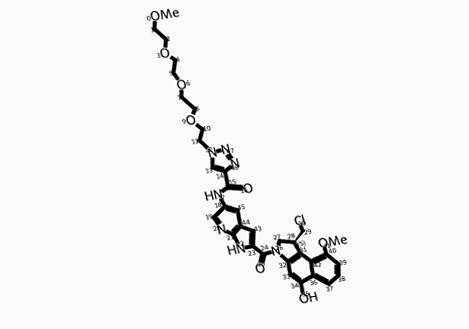 COCCOCCOCCOCCn1cc(C(=O)Nc2cnc3[nH]c(C(=O)N4C[C@@H](CCl)c5c4cc(O)c4cccc(OC)c54)cc3c2)nn1